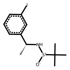 C[C@@H](N[S+]([O-])C(C)(C)C)c1cccc(I)c1